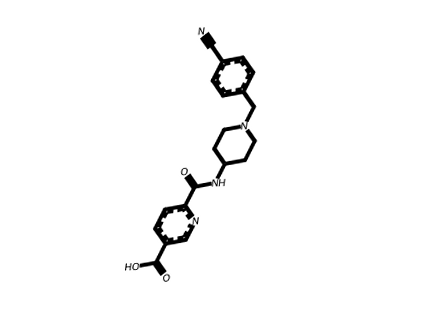 N#Cc1ccc(CN2CCC(NC(=O)c3ccc(C(=O)O)cn3)CC2)cc1